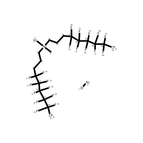 CC(=O)[O-].CC[N+](C)(CCCC(F)(F)C(F)(F)C(F)(F)C(F)(F)C(F)(F)C(F)(F)F)CCCC(F)(F)C(F)(F)C(F)(F)C(F)(F)C(F)(F)C(F)(F)F